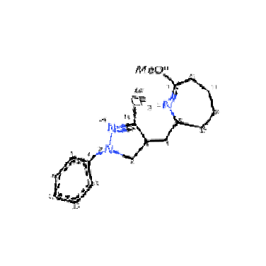 COC1=NC(CC2CN(c3ccccc3)N=C2C(F)(F)F)CCCC1